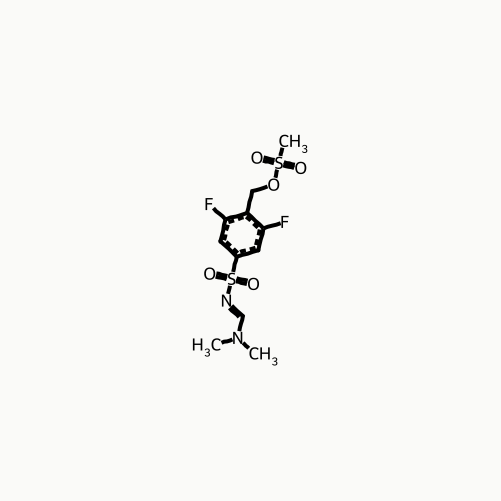 CN(C)C=NS(=O)(=O)c1cc(F)c(COS(C)(=O)=O)c(F)c1